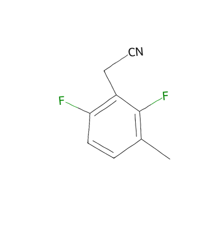 Cc1ccc(F)c(CC#N)c1F